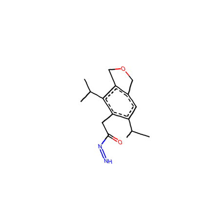 CC(C)c1cc2c(c(C(C)C)c1CC(=O)N=N)COC2